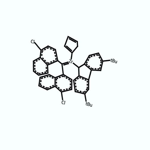 CC(C)(C)c1ccc2c(c1)-c1cc(C(C)(C)C)ccc1[CH]2[Zr]([C]1=CC=CC1)=[C](c1ccc(Cl)c2ccccc12)c1ccc(Cl)c2ccccc12